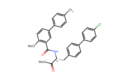 COC(=O)[C@@H](Cc1ccc(-c2ccc(Cl)cc2)cc1)NC(=O)c1cc(-c2ccc(C(F)(F)F)cc2)ccc1OC